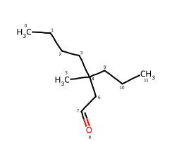 CCCCC(C)(CC=O)CCC